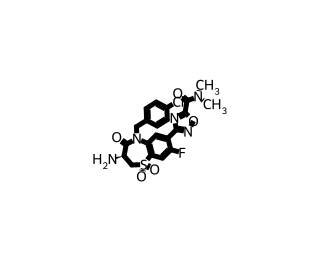 CN(C)C(=O)c1nc(-c2cc3c(cc2F)S(=O)(=O)C[C@H](N)C(=O)N3Cc2ccc(Cl)cc2)no1